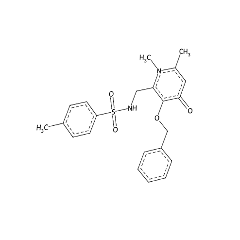 Cc1ccc(S(=O)(=O)NCc2c(OCc3ccccc3)c(=O)cc(C)n2C)cc1